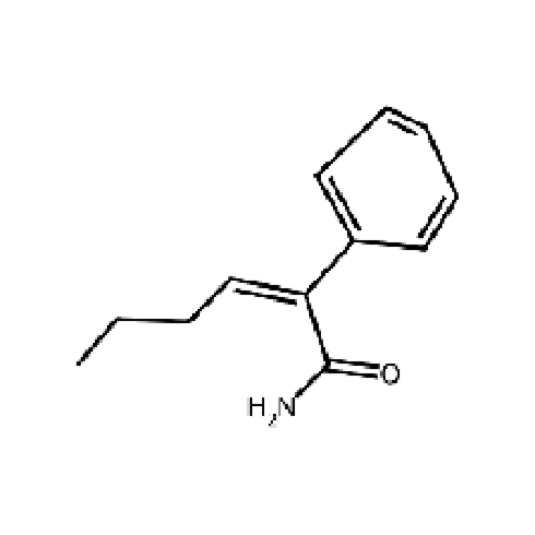 CCC/C=C(\C(N)=O)c1ccccc1